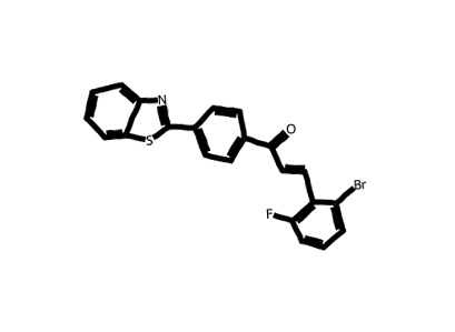 O=C(C=Cc1c(F)cccc1Br)c1ccc(-c2nc3ccccc3s2)cc1